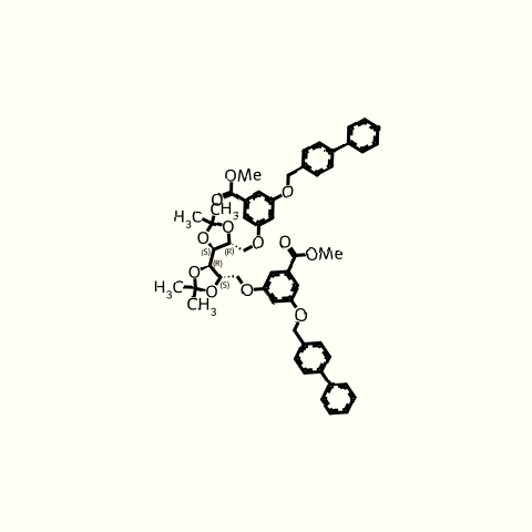 COC(=O)c1cc(OCc2ccc(-c3ccccc3)cc2)cc(OC[C@@H]2OC(C)(C)O[C@H]2[C@H]2OC(C)(C)O[C@@H]2COc2cc(OCc3ccc(-c4ccccc4)cc3)cc(C(=O)OC)c2)c1